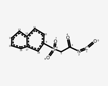 O=C=NC(=O)CS(=O)(=O)c1ccc2ccccc2c1